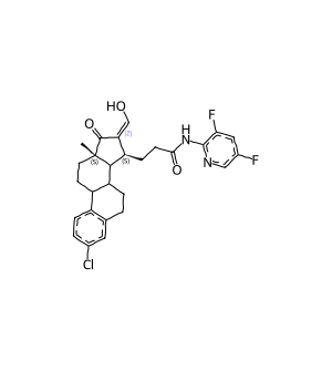 C[C@]12CCC3c4ccc(Cl)cc4CCC3C1[C@H](CCC(=O)Nc1ncc(F)cc1F)/C(=C/O)C2=O